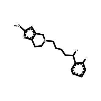 CC(=O)Oc1cc2c(s1)CCN(CCCCC(Br)c1ccccc1F)C2